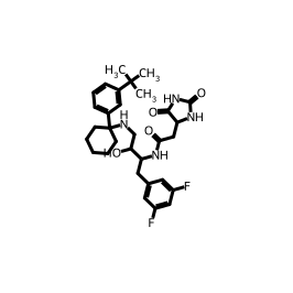 CC(C)(C)c1cccc(C2(NCC(O)C(Cc3cc(F)cc(F)c3)NC(=O)CC3NC(=O)NC3=O)CCCCC2)c1